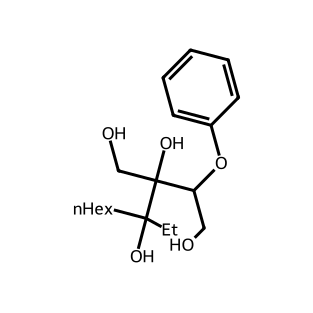 CCCCCCC(O)(CC)C(O)(CO)C(CO)Oc1ccccc1